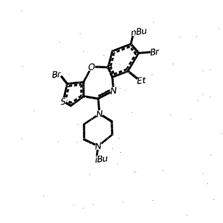 CCCCc1cc2c(c(CC)c1Br)N=C(N1CCN(C(C)CC)CC1)c1csc(Br)c1O2